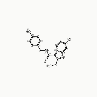 CCc1nc2cc(Cl)ccn2c1C(=O)NCc1ccc(O)cc1